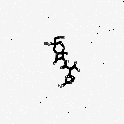 CC(=O)OCC1(C(=O)O)CS[C@@H]2C(NC(=O)C(=C(Cl)Cl)c3csc(N)n3)C(=O)N2C1